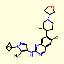 Cc1c(Nc2ncc3cc(Cl)c([C@@H]4CCN([C@@H]5CCOC5)C[C@H]4F)cc3n2)cnn1C12CC(C1)C2